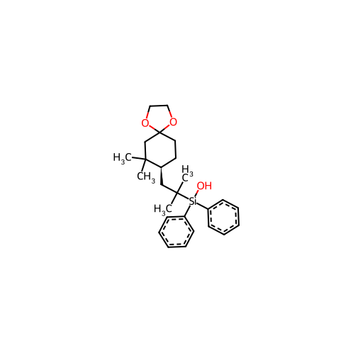 CC1(C)CC2(CC[C@H]1CC(C)(C)[Si](O)(c1ccccc1)c1ccccc1)OCCO2